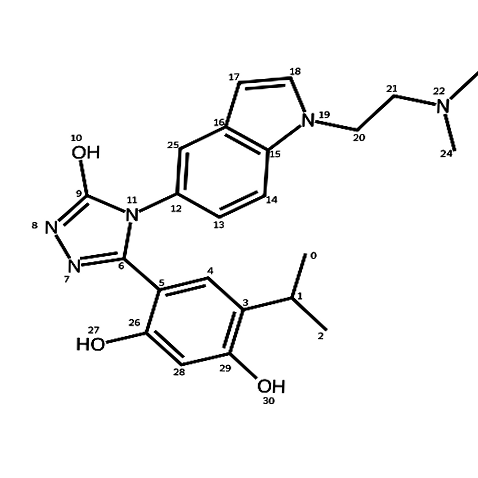 CC(C)c1cc(-c2nnc(O)n2-c2ccc3c(ccn3CCN(C)C)c2)c(O)cc1O